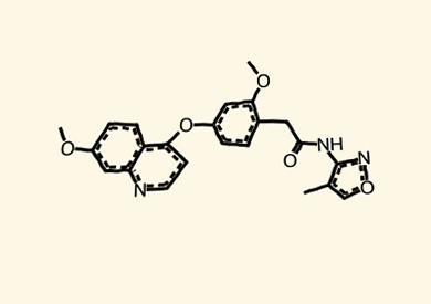 COc1ccc2c(Oc3ccc(CC(=O)Nc4nocc4C)c(OC)c3)ccnc2c1